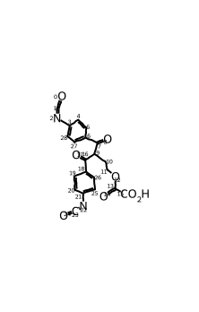 O=C=Nc1ccc(C(=O)C(CCOC(=O)C(=O)O)C(=O)c2ccc(N=C=O)cc2)cc1